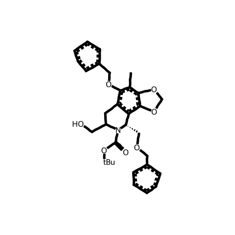 Cc1c(OCc2ccccc2)c2c(c3c1OCO3)[C@H](COCc1ccccc1)N(C(=O)OC(C)(C)C)C(CO)C2